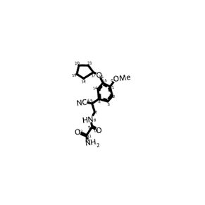 COc1ccc(C(C#N)CNC(=O)C(N)=O)cc1OC1CCCC1